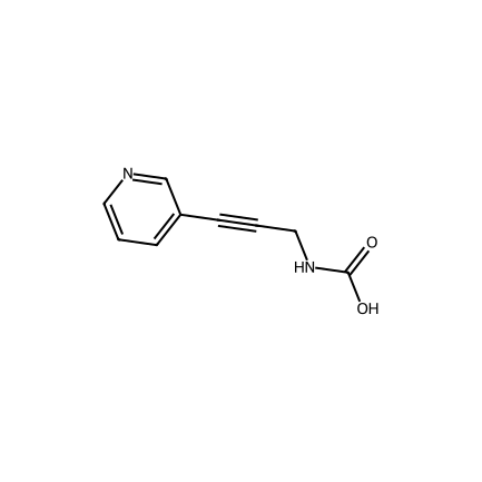 O=C(O)NCC#Cc1cccnc1